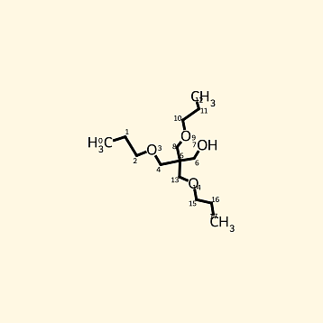 CCCOCC(CO)(COCCC)COCCC